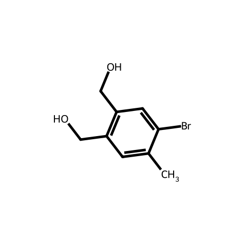 Cc1cc(CO)c(CO)cc1Br